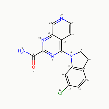 NC(=O)c1nc(N2CCc3ccc(Cl)cc32)c2c[c]ncc2n1